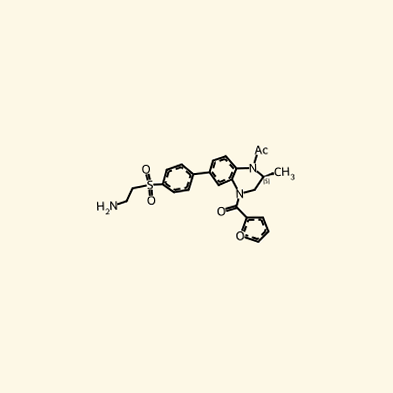 CC(=O)N1c2ccc(-c3ccc(S(=O)(=O)CCN)cc3)cc2N(C(=O)c2ccco2)C[C@@H]1C